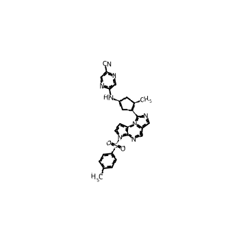 Cc1ccc(S(=O)(=O)n2ccc3c2ncc2cnc([C@H]4C[C@@H](Nc5cnc(C#N)cn5)C[C@H]4C)n23)cc1